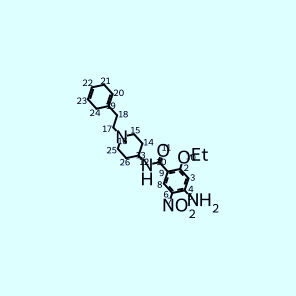 CCOc1cc(N)c([N+](=O)[O-])cc1C(=O)NC1CCN(CCC2=CCC=CC2)CC1